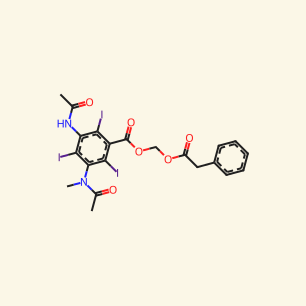 CC(=O)Nc1c(I)c(C(=O)OCOC(=O)Cc2ccccc2)c(I)c(N(C)C(C)=O)c1I